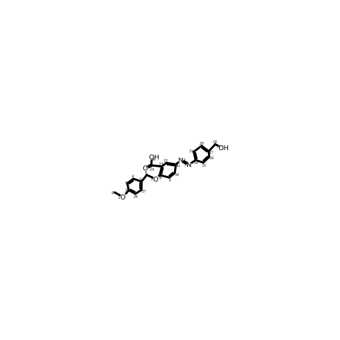 COc1ccc(COc2ccc(N=Nc3ccc(CO)cc3)cc2C(=O)O)cc1